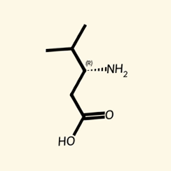 CC(C)[C@H](N)CC(=O)O